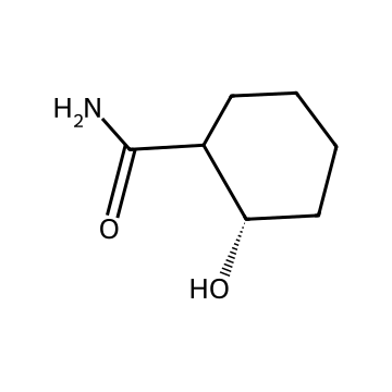 NC(=O)C1CCCC[C@@H]1O